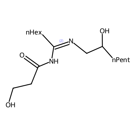 CCCCCC/C(=N/CC(O)CCCCC)NC(=O)CCO